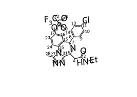 CCNC(=O)CC1N=C(c2ccc(Cl)cc2)c2cc(OS(=O)(=O)C(F)(F)F)ccc2-n2c(C)nnc21